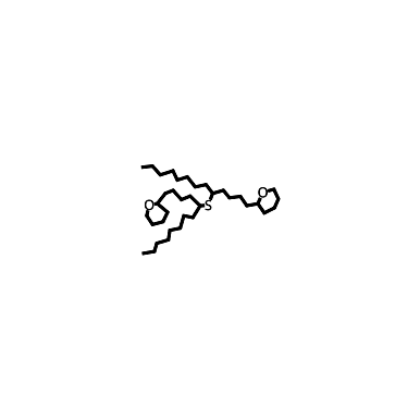 CCCCCCCCC(CCCCC1CCCCO1)SC(CCCCCCCC)CCCCC1CCCCO1